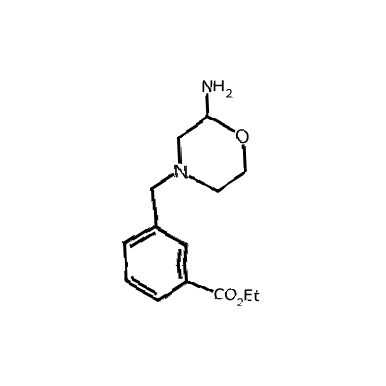 CCOC(=O)c1cccc(CN2CCOC(N)C2)c1